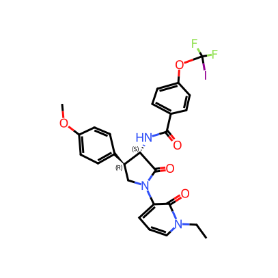 CCn1cccc(N2C[C@@H](c3ccc(OC)cc3)[C@H](NC(=O)c3ccc(OC(F)(F)I)cc3)C2=O)c1=O